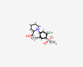 CS(=O)(=O)c1cc([N+](=O)[O-])c(N2CCCCC2CO)cc1F